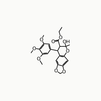 CCOC(=O)C1C(c2cc(OC)c(OC)c(OC)c2)c2cc3c(cc2OC1(C)O)OCO3